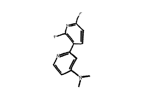 CN(C)c1ccnc(-c2ccc(F)nc2F)c1